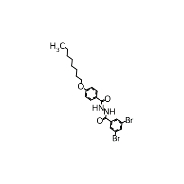 CCCCCCCCOc1ccc(C(=O)NNC(=O)c2cc(Br)cc(Br)c2)cc1